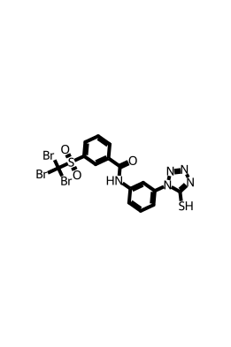 O=C(Nc1cccc(-n2nnnc2S)c1)c1cccc(S(=O)(=O)C(Br)(Br)Br)c1